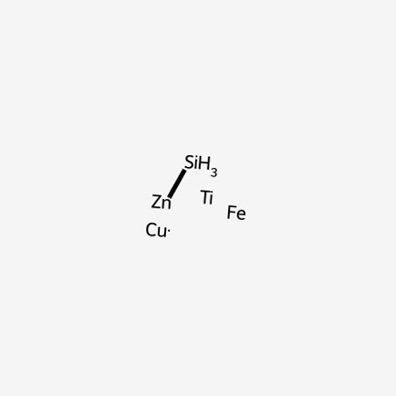 [Cu].[Fe].[SiH3][Zn].[Ti]